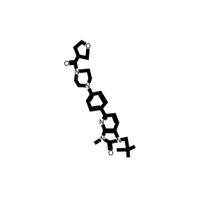 Cn1c(=O)n(CC(C)(C)C)c2ccc(-c3ccc(N4CCN(C(=O)C5CCOC5)CC4)cc3)nc21